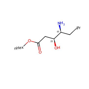 CCCCCCOC(=O)C[C@H](O)[C@@H](N)CC(C)C